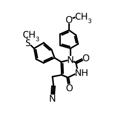 COc1ccc(-n2c(-c3ccc(SC)cc3)c(CC#N)c(=O)[nH]c2=O)cc1